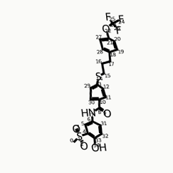 CS(=O)(=O)c1cc(NC(=O)c2ccc(SCCCc3ccc(OC(F)(F)F)cc3)cc2)ccc1O